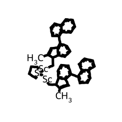 CC1=Cc2c(-c3cccc4ccccc34)cccc2C1[CH2][Sc][Si]1([Sc][CH2]C2C(C)=Cc3c(-c4cccc5ccccc45)cccc32)CCCC1